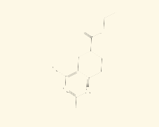 CCOC(=O)C1CCc2nc(Cl)nc(N)c2C1